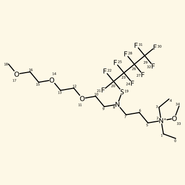 CC[N+](CC)(CCCN(CCOCCOCCOC)SC(F)(F)C(F)(F)C(F)(F)C(F)(F)F)OC